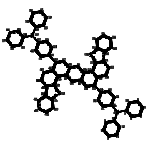 c1ccc(N(c2ccccc2)c2ccc(-c3cc4cc5c(cc(-c6ccc(N(c7ccccc7)c7ccccc7)cc6)c6ccc7c8ccccc8sc7c65)cc4c4c3ccc3c5ccccc5sc34)cc2)cc1